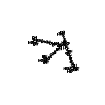 COP(=O)(O)OCCCCCCNC(=O)[C@H](CCCCNC(=O)COCCOCCOCCO[C@@H]1C[C@H](CO)[C@H](O)[C@H](O)[C@H]1NC(C)=O)NC(=O)[C@H](CCCCNC(=O)COCCOCCOCCO[C@@H]1O[C@H](CO)[C@H](O)[C@H](O)[C@H]1C)NC(=O)COCCOCCOCCO[C@@H]1O[C@H](CO)[C@H](O)[C@H](O)[C@H]1C